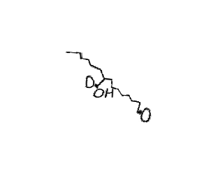 CCCCCCC(CCCCCCCC=O)C(=O)O